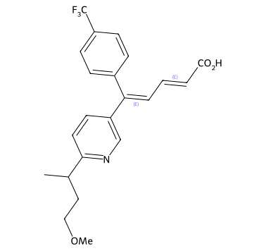 COCCC(C)c1ccc(/C(=C/C=C/C(=O)O)c2ccc(C(F)(F)F)cc2)cn1